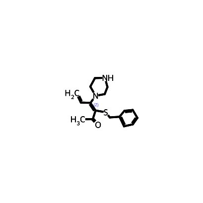 C=C/C(=C(/SCc1ccccc1)C(C)=O)N1CCNCC1